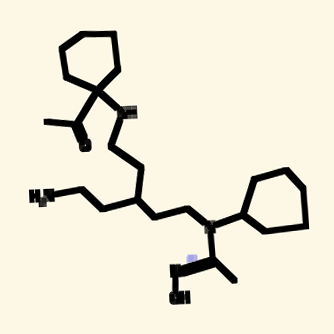 CC(=O)C1(NCCC(CCN)CCN(/C(C)=N/O)C2CCCCC2)CCCCC1